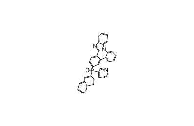 O=P(c1cccnc1)(c1ccc2ccccc2c1)c1ccc2c(c1)c1ccccc1n1c3ccccc3nc21